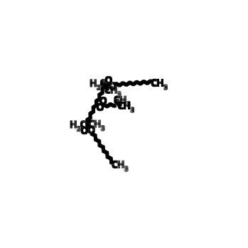 CCCCCCCCCCCCOC(=O)C(C)(C)CCCCCC(CCCCCC(C)(C)C(=O)OCCCCCCCCCCCC)OC(=O)CCCN(C)C